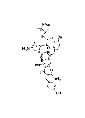 CC[C@H](C)[C@H](NC(=O)[C@H](Cc1ccc(O)cc1)NC(=O)[C@H](CC(N)=O)NC(=O)C(NC(=O)[C@H](C)NC)C(C)C)C(=O)N[C@@H](Cc1ccc(O)cc1)C(N)=O